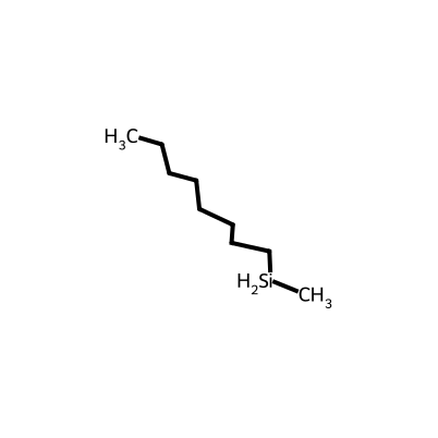 CCCCCCCC[SiH2]C